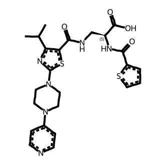 CC(C)c1nc(N2CCN(c3ccncc3)CC2)sc1C(=O)NC[C@H](NC(=O)c1cccs1)C(=O)O